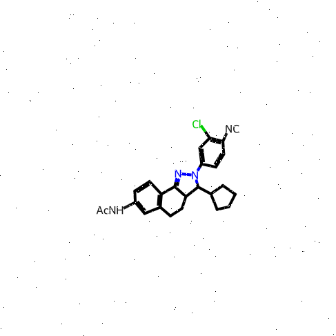 [C-]#[N+]c1ccc(N2N=C3c4ccc(NC(C)=O)cc4CCC3C2C2CCCC2)cc1Cl